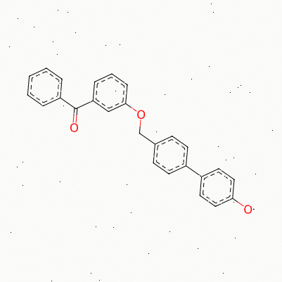 [O]c1ccc(-c2ccc(COc3cccc(C(=O)c4ccccc4)c3)cc2)cc1